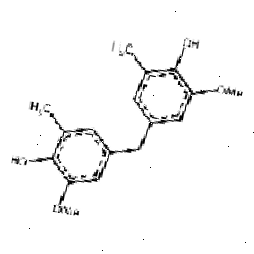 COc1cc(Cc2cc(C)c(O)c(OC)c2)cc(C)c1O